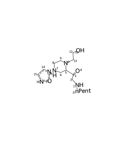 CCCCCNCC(=O)C1CNCCN1CCO.c1cnon1